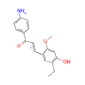 CCc1cc(/C=C/C(=O)c2ccc(N)cc2)c(OC)cc1O